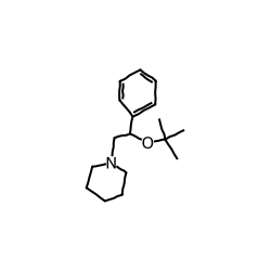 CC(C)(C)OC(CN1CCCCC1)c1ccccc1